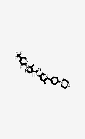 Cc1cc(NC(=O)c2cnn(-c3ncc(C(F)(F)F)cc3F)c2C)cnc1C1=CCC(N2CCOCC2)CC1